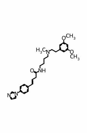 COc1cc(CCN(C)CCCCNC(=O)C/C=C/c2ccc(-n3ccnc3)cc2)cc(OC)c1